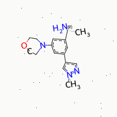 C[C@@H](N)c1cc(-c2cnn(C)c2)cc(N2CCOCC2)c1